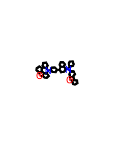 c1ccc(N(c2ccc3c(c2)oc2ccccc23)c2ccc(-c3ccc(N(c4ccccc4)c4cccc5oc6ccccc6c45)cc3)c3ccccc23)cc1